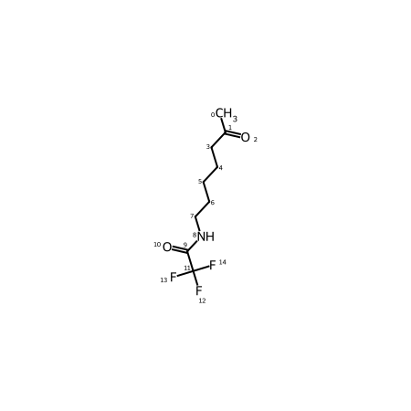 CC(=O)CCCCCNC(=O)C(F)(F)F